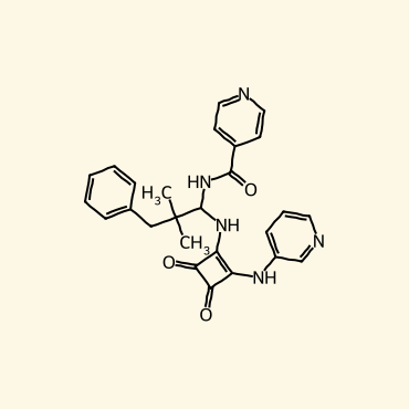 CC(C)(Cc1ccccc1)C(NC(=O)c1ccncc1)Nc1c(Nc2cccnc2)c(=O)c1=O